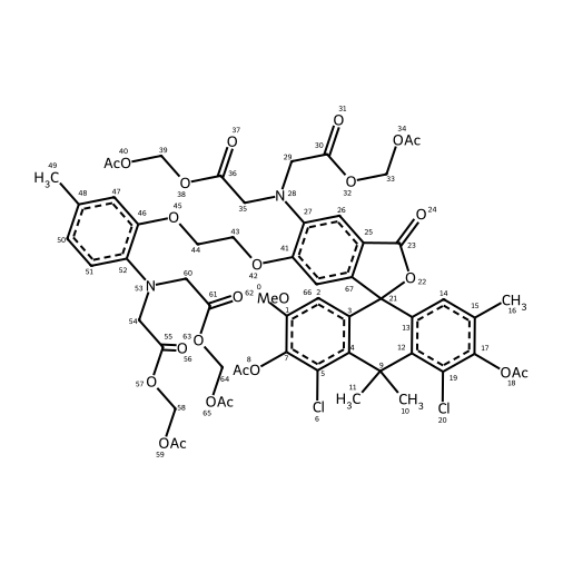 COc1cc2c(c(Cl)c1OC(C)=O)C(C)(C)c1c(cc(C)c(OC(C)=O)c1Cl)C21OC(=O)c2cc(N(CC(=O)OCOC(C)=O)CC(=O)OCOC(C)=O)c(OCCOc3cc(C)ccc3N(CC(=O)OCOC(C)=O)CC(=O)OCOC(C)=O)cc21